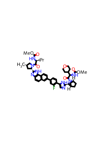 COC(=O)NC(C(=O)N1[C@@H]2CC[C@@H](C2)[C@H]1c1ncc(-c2ccc(-c3ccc4c(ccc5nc([C@@H]6C[C@H](C)CN6C(=O)[C@@H](NC(=O)OC)C(C)C)[nH]c54)c3)cc2F)[nH]1)C1CCOCC1